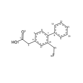 O=C(O)Cc1ccc(-c2ccccc2)c(CF)c1